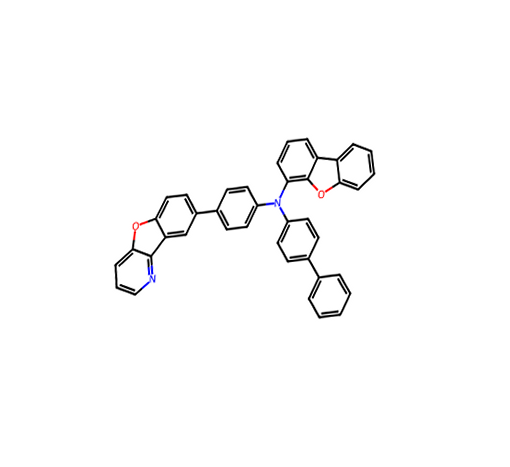 c1ccc(-c2ccc(N(c3ccc(-c4ccc5oc6cccnc6c5c4)cc3)c3cccc4c3oc3ccccc34)cc2)cc1